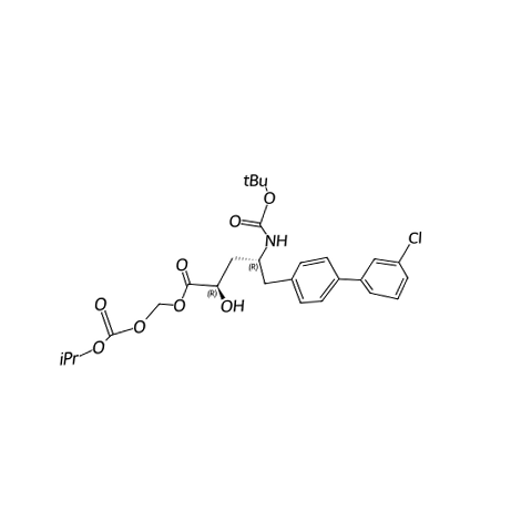 CC(C)OC(=O)OCOC(=O)[C@H](O)C[C@@H](Cc1ccc(-c2cccc(Cl)c2)cc1)NC(=O)OC(C)(C)C